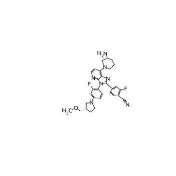 COC[C@H]1CCN(c2ccc(-n3c(-c4ccc(C#N)c(F)c4)nc4c(N5CCC[C@@H](N)C5)ccnc43)c(F)c2)C1